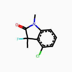 CN1C(=O)C(C)(F)c2c(Cl)cccc21